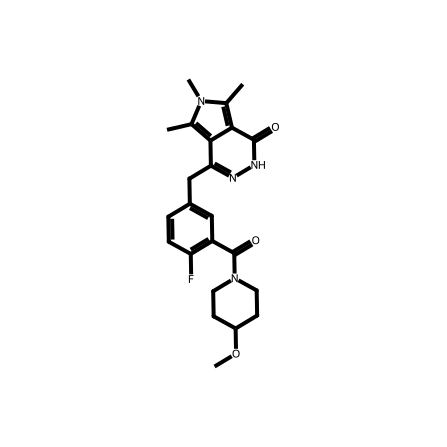 COC1CCN(C(=O)c2cc(Cc3n[nH]c(=O)c4c(C)n(C)c(C)c34)ccc2F)CC1